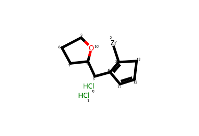 Cl.Cl.[Zr][C]1=C(CC2CCCO2)C=CC1